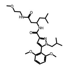 COCCNC(=O)CC(CC(C)C)NC(=O)c1cc(-c2c(OC)cccc2OC)n(CC(C)C)n1